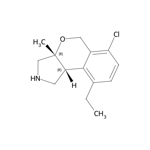 CCc1ccc(Cl)c2c1[C@@H]1CNC[C@]1(C)OC2